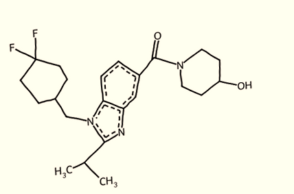 CC(C)c1nc2cc(C(=O)N3CCC(O)CC3)ccc2n1CC1CCC(F)(F)CC1